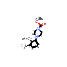 COc1c(N2CCN(C(=O)OC(C)(C)C)CC2)cccc1[N+](=O)[O-]